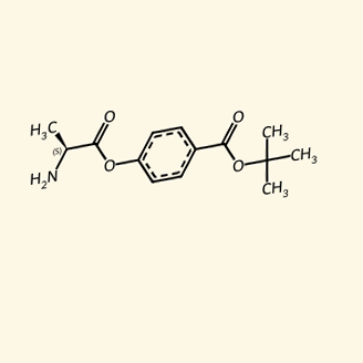 C[C@H](N)C(=O)Oc1ccc(C(=O)OC(C)(C)C)cc1